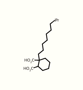 CC(C)CCCCCCCC1(C(=O)O)CCCCC1C(=O)O